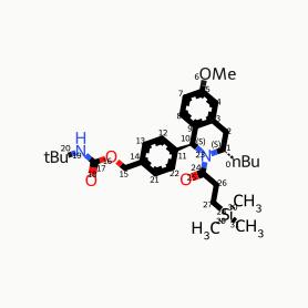 CCCC[C@H]1Cc2cc(OC)ccc2[C@H](c2ccc(COC(=O)NC(C)(C)C)cc2)N1C(=O)CC[Si](C)(C)C